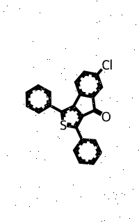 O=C1c2cc(Cl)ccc2-c2c(-c3ccccc3)sc(-c3ccccc3)c21